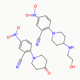 N#Cc1cc([N+](=O)[O-])ccc1N1CCC(=O)CC1.N#Cc1cc([N+](=O)[O-])ccc1N1CCC(NCCO)CC1